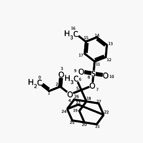 C=CC(=O)OC(C)(OS(=O)(=O)c1cccc(C)c1)C12CC3CC(CC(C3)C1)C2